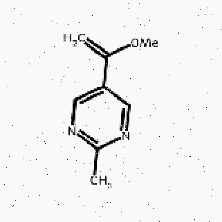 C=C(OC)c1cnc(C)nc1